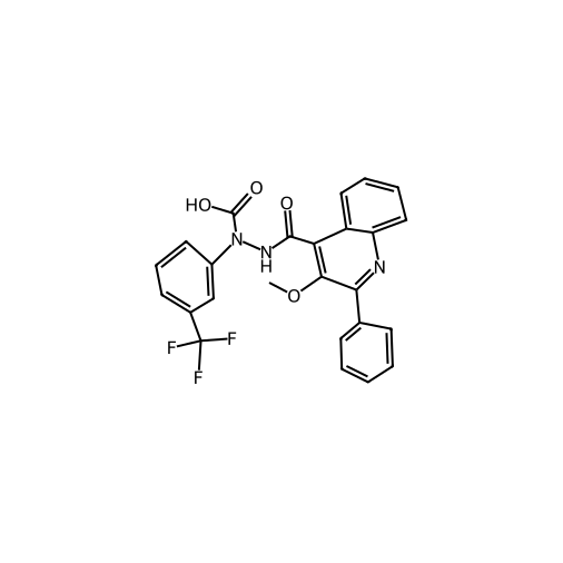 COc1c(-c2ccccc2)nc2ccccc2c1C(=O)NN(C(=O)O)c1cccc(C(F)(F)F)c1